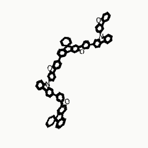 c1ccc2c(c1)-c1cc3oc4ccc(-c5ccc6c7ccccc7n(-c7ccc8c(c7)oc7cc(-c9ccc%10c(c9)-c9cc%11oc%12cc(-c%13ccc%14c%15ccccc%15n(-c%15ccc%16oc%17ccccc%17c%16c%15)c%14c%13)ccc%12c%11cc9C%109CCCCC9)ccc78)c6c5)cc4c3cc1C21CCCCC1